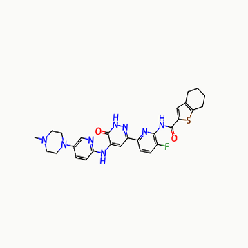 CN1CCN(c2ccc(Nc3cc(-c4ccc(F)c(NC(=O)c5cc6c(s5)CCCC6)n4)n[nH]c3=O)nc2)CC1